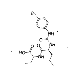 CCC[C@H](NC(=O)Nc1ccc(Br)cc1)C(=O)NC(CC)C(=O)O